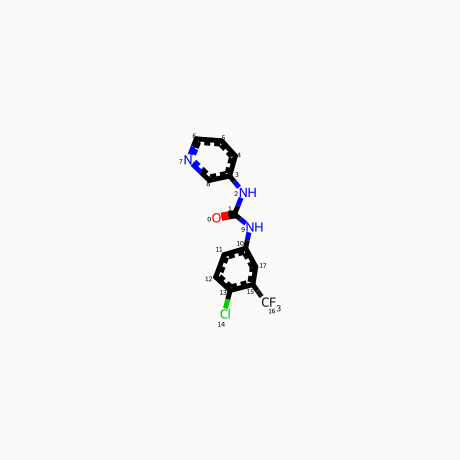 O=C(Nc1cccnc1)Nc1ccc(Cl)c(C(F)(F)F)c1